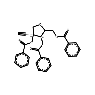 C#C[C@]1(OC(=O)c2ccccc2)COC(COC(=O)c2ccccc2)[C@H]1OC(=O)c1ccccc1